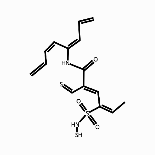 C=C/C=C\C(=C/C=C)NC(=O)/C(C=S)=C/C(=C\C)S(=O)(=O)NS